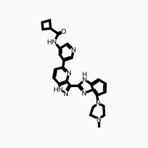 CN1CCN(c2cccc3[nH]c(-c4n[nH]c5ccc(-c6cncc(NC(=O)C7CCC7)c6)nc45)nc23)CC1